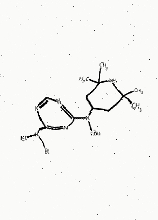 CCCCN(c1ncnc(N(CC)CC)n1)C1CC(C)(C)NC(C)(C)C1